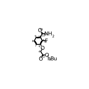 CCCCOC(=O)COc1cccc(C(N)=O)c1F